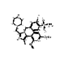 C=Nc1nc(OC)ccc1-c1c(C)nc(CN2CCOCC2)n1Cc1ccc(S(N)(=O)=O)c(F)c1